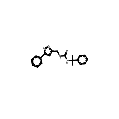 CC(C)(NC(=O)NCc1cc(-c2ccccc2)no1)c1ccccc1